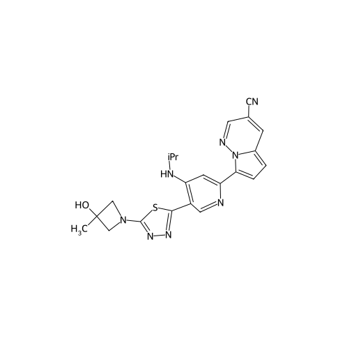 CC(C)Nc1cc(-c2ccc3cc(C#N)cnn23)ncc1-c1nnc(N2CC(C)(O)C2)s1